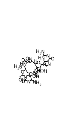 B[C@@H]1NP(=O)(O)OC[C@H]2OC(n3cnc4c(=O)nc(N)[nH]c43)[C@H](O)[C@@H]2NP(=O)(O)OC[C@H]1OC(CO)n1ccc(N)nc1=O